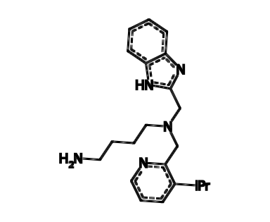 CC(C)c1cccnc1CN(CCCCN)Cc1nc2ccccc2[nH]1